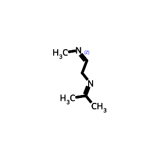 C/N=C\CN=C(C)C